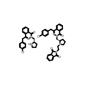 O=C1c2ccccc2C(=O)N1CCN1CCC[C@@H]1Cn1nc(Cc2ccc(Cl)cc2)c2ccccc2c1=O.O=c1c2ccccc2c(Cc2ccc(Cl)cc2)nn1C[C@H]1CCCN1